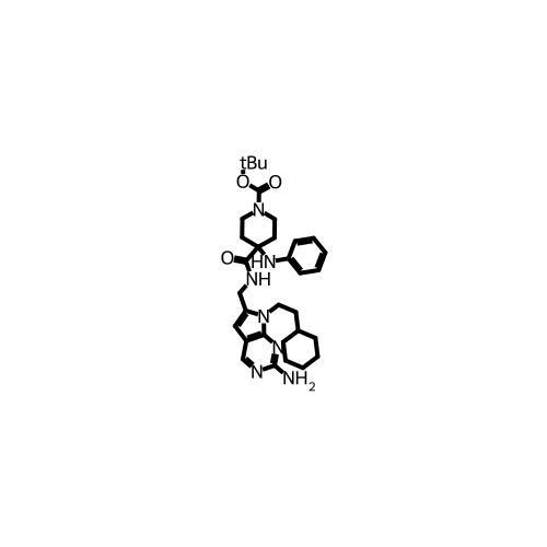 CC(C)(C)OC(=O)N1CCC(Nc2ccccc2)(C(=O)NCc2cc3cnc(N)nc3n2CCC2CCCCC2)CC1